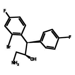 NC[C@H](O)[C@H](c1ccc(F)cc1)c1ccc(F)cc1Br